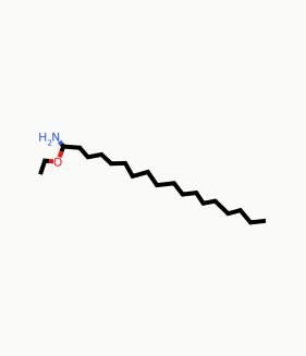 CCCCCCCCCCCCCCCCCC(N)OCC